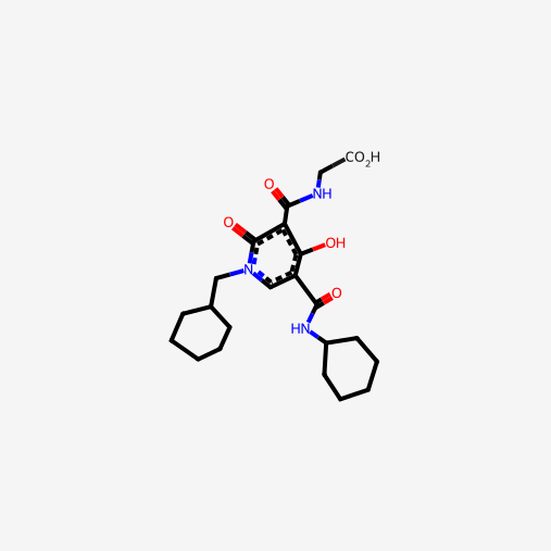 O=C(O)CNC(=O)c1c(O)c(C(=O)NC2CCCCC2)cn(CC2CCCCC2)c1=O